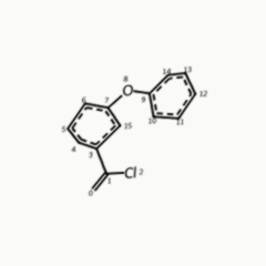 C=C(Cl)c1cccc(Oc2ccccc2)c1